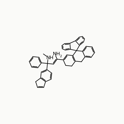 CNC(/C=C(\N)C1=CC2=C(CC1)Cc1ccccc1C21c2ccccc2-c2ccccc21)(c1ccccc1)c1ccc2c(c1)CC=C2